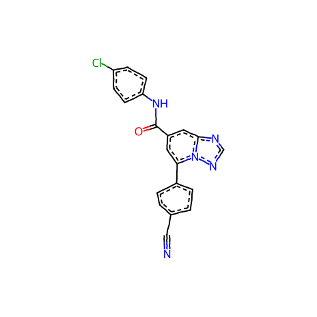 N#Cc1ccc(-c2cc(C(=O)Nc3ccc(Cl)cc3)cc3ncnn23)cc1